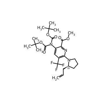 C=CC[C@@H]1CCCN1c1nc(C(=O)OC)c(N(C(=O)OC(C)(C)C)C(=O)OC(C)(C)C)cc1C(F)(F)F